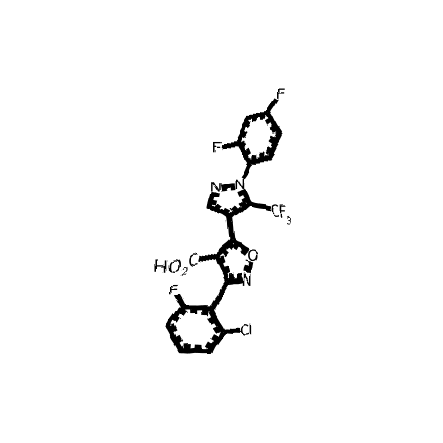 O=C(O)c1c(-c2c(F)cccc2Cl)noc1-c1cnn(-c2ccc(F)cc2F)c1C(F)(F)F